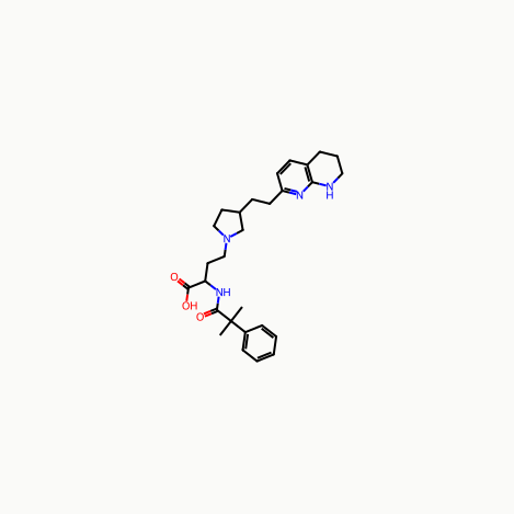 CC(C)(C(=O)NC(CCN1CCC(CCc2ccc3c(n2)NCCC3)C1)C(=O)O)c1ccccc1